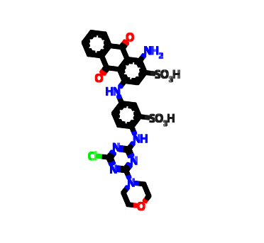 Nc1c(S(=O)(=O)O)cc(Nc2ccc(Nc3nc(Cl)nc(N4CCOCC4)n3)c(S(=O)(=O)O)c2)c2c1C(=O)c1ccccc1C2=O